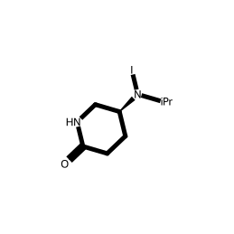 CC(C)N(I)[C@H]1CCC(=O)NC1